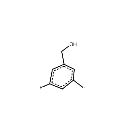 [CH2]c1cc(F)cc(CO)c1